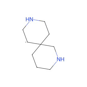 [CH]1CNCCC12CCCNC2